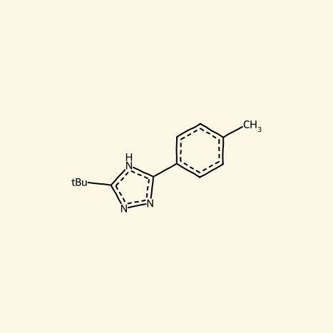 Cc1ccc(-c2nnc(C(C)(C)C)[nH]2)cc1